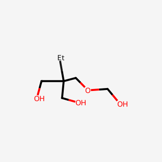 CCC(CO)(CO)COCO